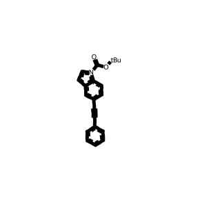 CC(C)(C)OC(=O)n1ccc2cc(C#Cc3ccccc3)ccc21